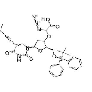 CCC#Cc1cn([C@H]2CC(OC(N=[N+]=[N-])C(=O)O)[C@@H](CO[Si](c3ccccc3)(c3ccccc3)C(C)(C)C)O2)c(=O)[nH]c1=O